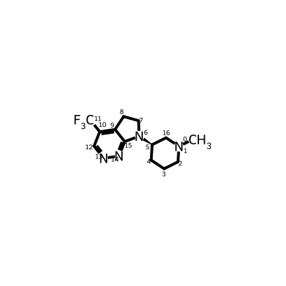 CN1CCC[C@@H](N2CCc3c(C(F)(F)F)cnnc32)C1